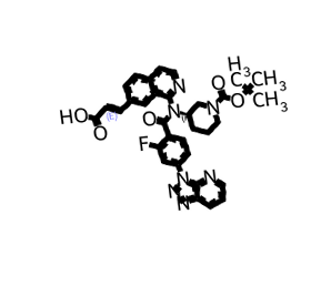 CC(C)(C)OC(=O)N1CCC[C@@H](N(C(=O)c2ccc(-n3nnc4cccnc43)cc2F)c2nccc3ccc(/C=C/C(=O)O)cc23)C1